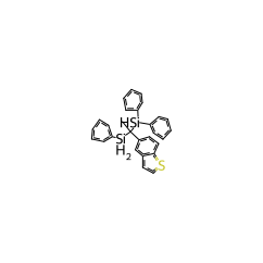 CC([SiH2]c1ccccc1)(c1ccc2sccc2c1)[SiH](c1ccccc1)c1ccccc1